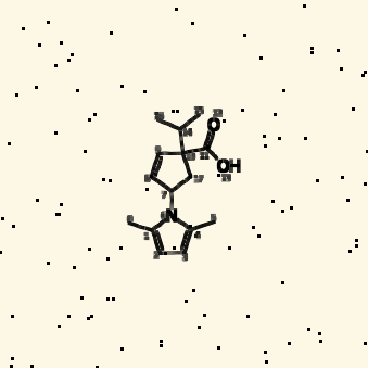 Cc1ccc(C)n1C1C=CC(C(=O)O)(C(C)C)C1